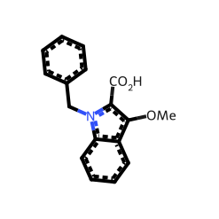 COc1c(C(=O)O)n(Cc2ccccc2)c2ccccc12